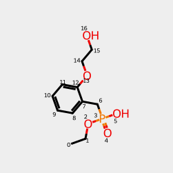 CCOP(=O)(O)Cc1ccccc1OCCO